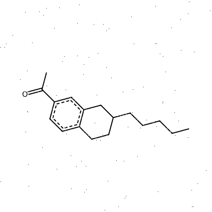 CCCCCC1CCc2ccc(C(C)=O)cc2C1